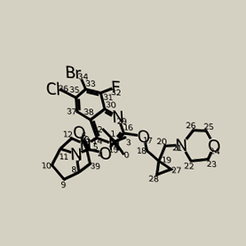 CC(C)(C)OC(=O)N1C2CCC1CN(c1nc(OCC3(CN4CCOCC4)CC3)nc3c(F)c(Br)c(Cl)cc13)C2